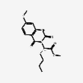 CCCC[C@@H](C(=O)OC)n1c(=O)[nH]c2cc(OC)ccc2c1=O